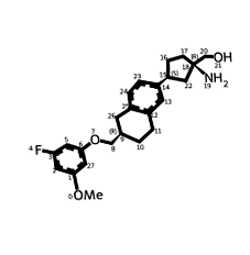 COc1cc(F)cc(OC[C@@H]2CCc3cc([C@H]4CC[C@](N)(CO)C4)ccc3C2)c1